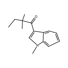 CCC(C)(C)C(=O)c1cn(C)c2ccccc12